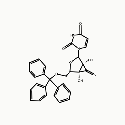 O=c1ccn(C2O[C@H](COC(c3ccccc3)(c3ccccc3)c3ccccc3)[C@]3(O)C(=S)[C@]23O)c(=O)[nH]1